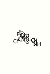 CNc1cc(C(=O)N2CCCC(OC)(c3ncc(Cl)cc3C(F)(F)F)C2)ccn1